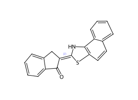 O=C1/C(=C2/Nc3c(ccc4ccccc34)S2)Cc2ccccc21